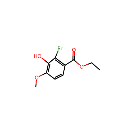 CCOC(=O)c1ccc(OC)c(O)c1Br